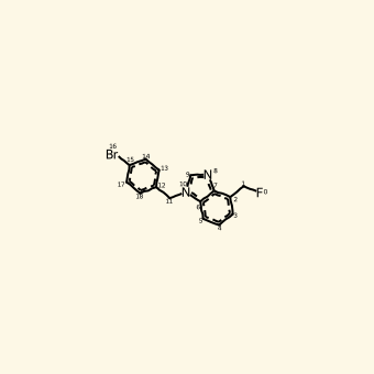 FCc1cccc2c1ncn2Cc1ccc(Br)cc1